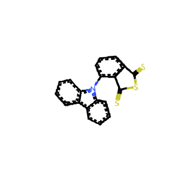 S=C1SC(=S)c2c1cccc2-n1c2ccccc2c2ccccc21